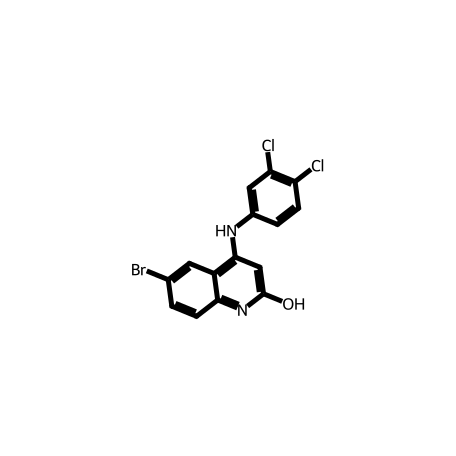 Oc1cc(Nc2ccc(Cl)c(Cl)c2)c2cc(Br)ccc2n1